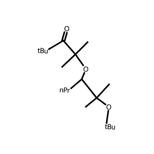 CCCC(OC(C)(C)C(=O)C(C)(C)C)C(C)(C)OC(C)(C)C